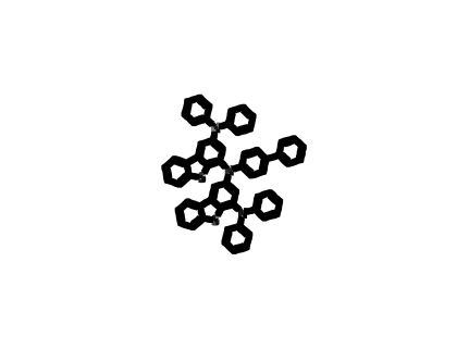 c1ccc(-c2ccc(N(c3cc(N(c4ccccc4)c4ccccc4)c4sc5ccccc5c4c3)c3cc(N(c4ccccc4)c4ccccc4)cc4c3sc3ccccc34)cc2)cc1